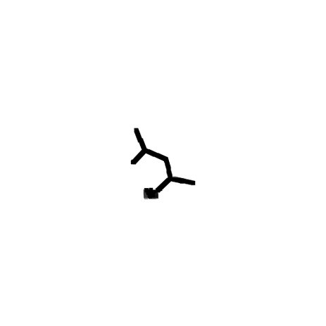 CC(C)C[CH](C)[Na]